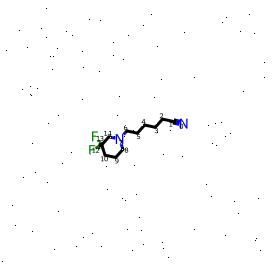 N#CCCCCCN1CCCC(F)(F)C1